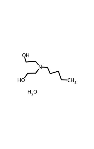 CCCCCN(CCO)CCO.O